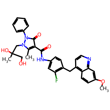 COc1ccc2c(Cc3ccc(NC(=O)c4c(C)n(CC(C)(O)CO)n(-c5ccccc5)c4=O)cc3F)ccnc2c1